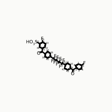 O=C(c1ccc(F)cc1)c1ccc(C(F)(F)C(F)(F)C(F)(F)C(F)(F)c2ccc(C(=O)c3ccc(F)c(S(=O)(=O)O)c3)cc2)cc1